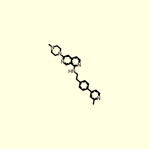 Cc1cc(-c2ccc(CCNc3nccc4cc(N5CCN(C)CC5)ncc34)cc2)ccn1